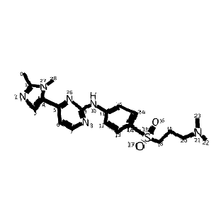 Cc1ncc(-c2ccnc(Nc3ccc(S(=O)(=O)CCCN(C)C)cc3)n2)n1C